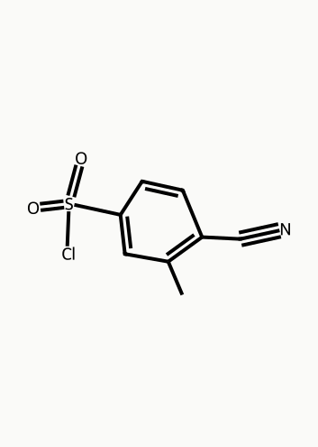 Cc1cc(S(=O)(=O)Cl)ccc1C#N